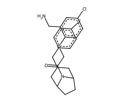 NCc1cc(Cl)ccc1OCC(=O)N1C2CCC1CC(Cc1ccc(F)cc1)C2